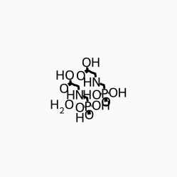 O.O=C(O)CNCP(=O)(O)O.O=C(O)CNCP(=O)(O)O